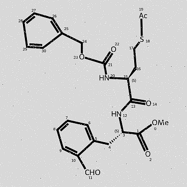 COC(=O)[C@H](Cc1ccccc1C=O)NC(=O)[C@H](CCSC(C)=O)NC(=O)OCc1ccccc1